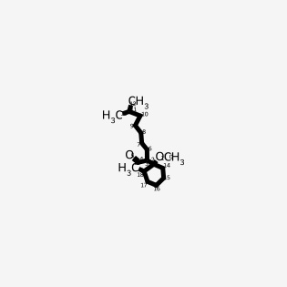 COC1(C(C=O)CCCCCC(C)C)CCCCC1C